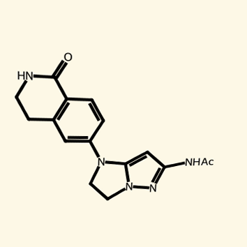 CC(=O)Nc1cc2n(n1)CCN2c1ccc2c(c1)CCNC2=O